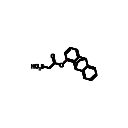 O=C(CS(=O)(=O)O)OCC1CC2c3ccccc3C1c1ccccc12